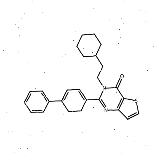 O=c1c2sccc2nc(C2=CC=C(c3ccccc3)CC2)n1CCC1CCCCC1